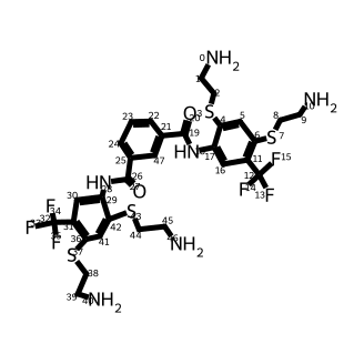 NCCSc1cc(SCCN)c(C(F)(F)F)cc1NC(=O)c1cccc(C(=O)Nc2cc(C(F)(F)F)c(SCCN)cc2SCCN)c1